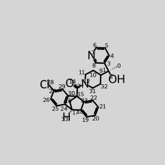 C[C@@](O)(c1cccnc1)C1CCN(C(=O)C23C[C@@H](c4ccccc42)c2ccc(Cl)cc23)CC1